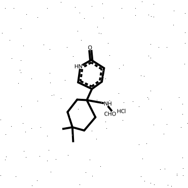 CC1(C)CCC(NC=O)(c2ccc(=O)[nH]c2)CC1.Cl